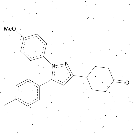 COc1ccc(-n2nc(C3CCC(=O)CC3)cc2-c2ccc(C)cc2)cc1